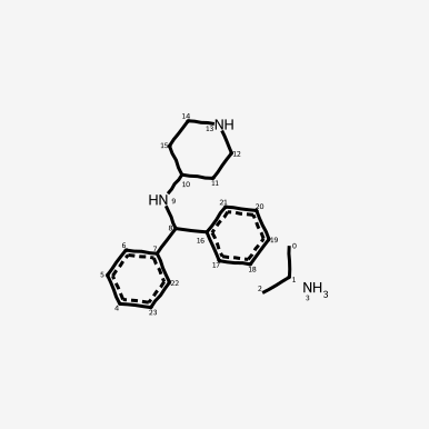 CCC.N.c1ccc(C(NC2CCNCC2)c2ccccc2)cc1